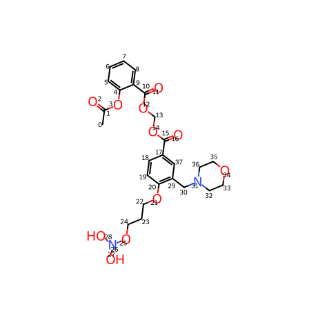 CC(=O)Oc1ccccc1C(=O)OCOC(=O)c1ccc(OCCCON(O)O)c(CN2CCOCC2)c1